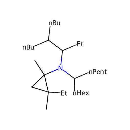 CCCCCCC(CCCCC)N(C(CC)C(CCCC)CCCC)C1(C)CC1(C)CC